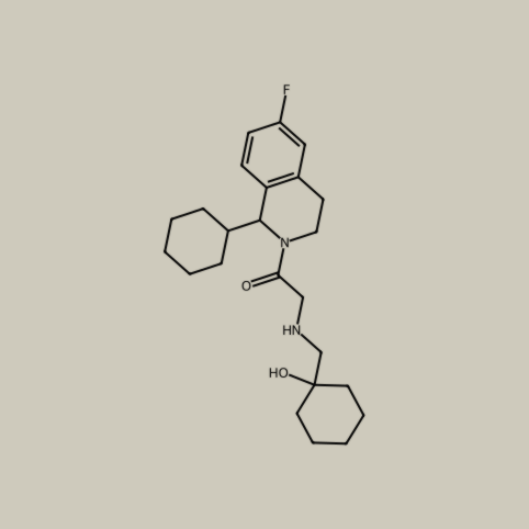 O=C(CNCC1(O)CCCCC1)N1CCc2cc(F)ccc2C1C1CCCCC1